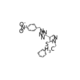 CCn1ncc(-c2nnn(Cc3ccc([N+](=O)[O-])cc3)n2)c1SCc1ccccc1